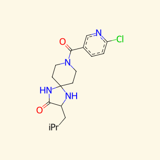 CC(C)CC1NC2(CCN(C(=O)c3ccc(Cl)nc3)CC2)NC1=O